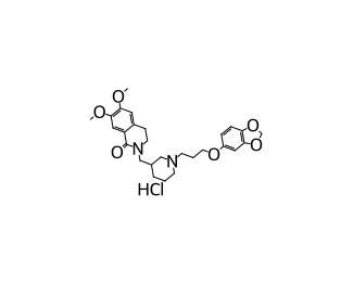 COc1cc2c(cc1OC)C(=O)N(CC1CCCN(CCCOc3ccc4c(c3)OCO4)C1)CC2.Cl